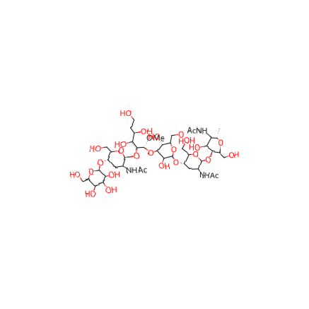 CO[C@H](OC1C(O)[C@H](O[C@H]2CC(NC(C)=O)[C@H](O[C@@H]3C(CO)O[C@@H](C)C(NC(C)=O)C3O)OC2CO)OC(CO)[C@H]1O)C(O[C@@H]1OC(CO)[C@@H](O[C@@H]2OC(CO)[C@H](O)C(O)C2O)CC1NC(C)=O)C(O)[C@H](O)CCO